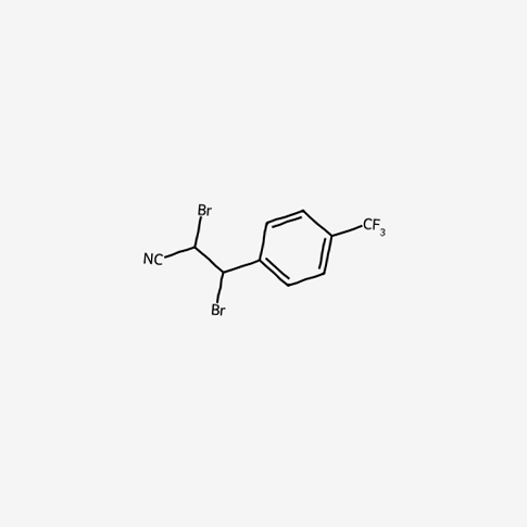 N#CC(Br)C(Br)c1ccc(C(F)(F)F)cc1